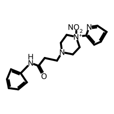 O=C(CCN1CC[N+](c2ccccn2)([N+](=O)[O-])CC1)Nc1ccccc1